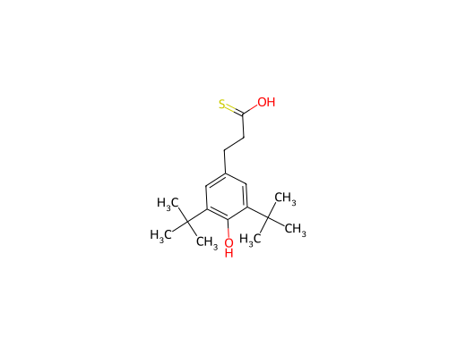 CC(C)(C)c1cc(CCC(O)=S)cc(C(C)(C)C)c1O